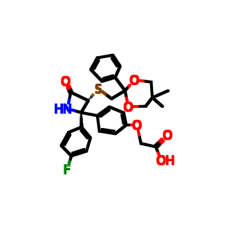 CC1(C)COC(CS[C@H]2C(=O)N[C@@]2(c2ccc(F)cc2)c2ccc(OCC(=O)O)cc2)(c2ccccc2)OC1